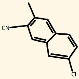 [C-]#[N+]c1cc2cc(Cl)ccc2cc1C